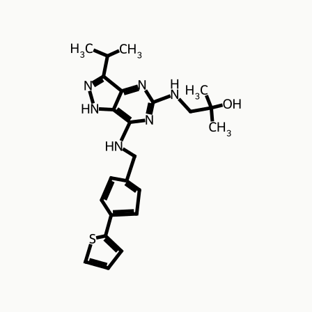 CC(C)c1n[nH]c2c(NCc3ccc(-c4cccs4)cc3)nc(NCC(C)(C)O)nc12